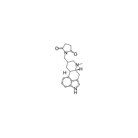 CN1CC(CN2C(=O)CCC2=O)C[C@@H]2c3cccc4[nH]cc(c34)C[C@H]21